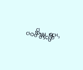 CS(=O)(=O)[C@]1(F)CCOc2cc3sc(C(=O)Nc4cc(Cl)nc(Oc5ccc(Cl)cc5)c4)cc3cc21